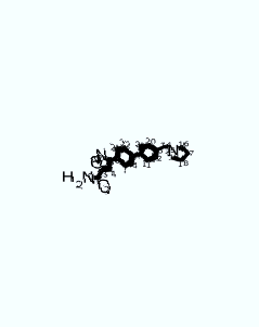 NC(=O)c1cc(-c2ccc(-c3ccc(CN4CCCC4)cc3)cc2)no1